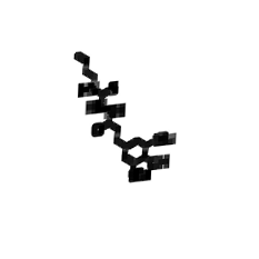 C=CCCNC(=S)NNC(=O)CCC1=CC(C(C)(C)C)C(O)C(C(C)(C)C)=C1